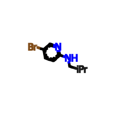 CC(C)CNc1ccc(Br)cn1